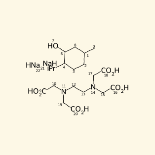 CC1CCC(C(C)C)C(O)C1.O=C(O)CN(CCN(CC(=O)O)CC(=O)O)CC(=O)O.[NaH].[NaH]